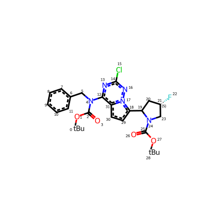 CC(C)(C)OC(=O)N(Cc1ccccc1)c1nc(Cl)nn2c(C3C[C@H](F)CN3C(=O)OC(C)(C)C)ccc12